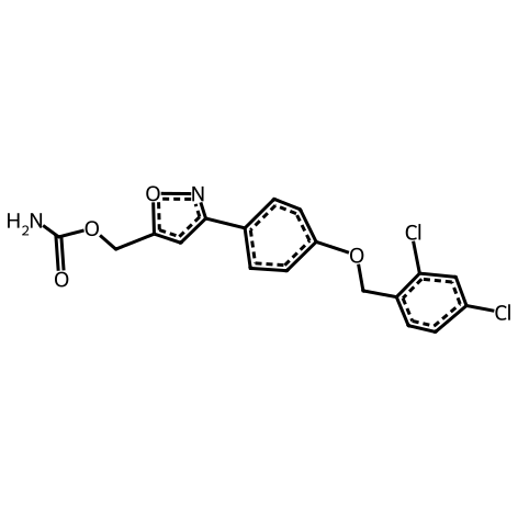 NC(=O)OCc1cc(-c2ccc(OCc3ccc(Cl)cc3Cl)cc2)no1